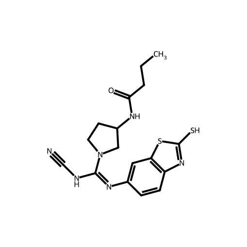 CCCC(=O)NC1CCN(C(=Nc2ccc3nc(S)sc3c2)NC#N)C1